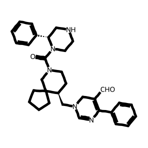 O=CC1=C(c2ccccc2)N=CN(C[C@@H]2CCN(C(=O)N3CCNC[C@H]3c3ccccc3)CC23CCCC3)C1